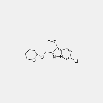 O=Cc1c(COC2CCCCO2)nn2cc(Cl)ccc12